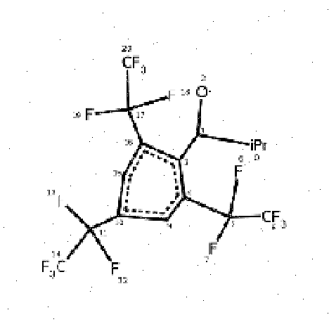 CC(C)C([O])c1c(C(F)(F)C(F)(F)F)cc(C(F)(F)C(F)(F)F)cc1C(F)(F)C(F)(F)F